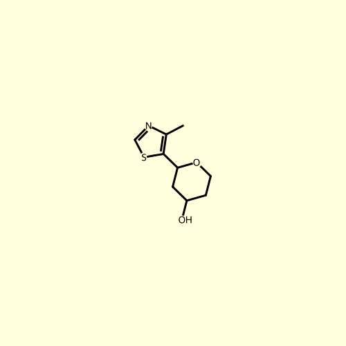 Cc1ncsc1C1CC(O)CCO1